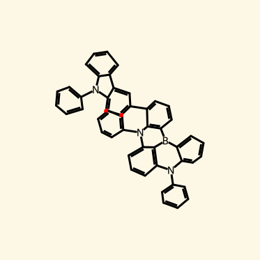 c1ccc(N2c3ccccc3B3c4cccc(-c5ccc6c(c5)c5ccccc5n6-c5ccccc5)c4N(c4ccccc4)c4cccc2c43)cc1